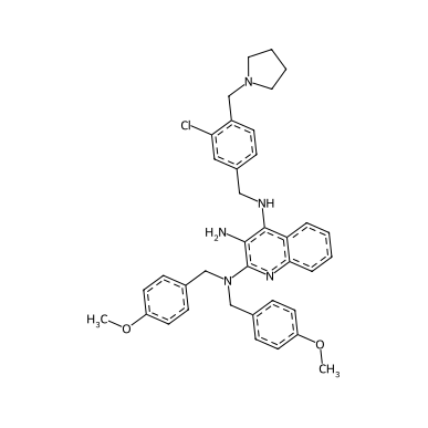 COc1ccc(CN(Cc2ccc(OC)cc2)c2nc3ccccc3c(NCc3ccc(CN4CCCC4)c(Cl)c3)c2N)cc1